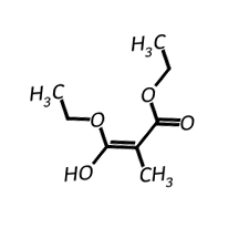 CCOC(=O)C(C)=C(O)OCC